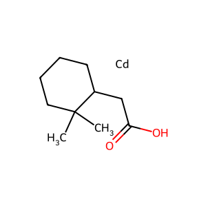 CC1(C)CCCCC1CC(=O)O.[Cd]